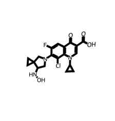 O=C(O)c1cn(C2CC2)c2c(Cl)c(N3CC(NO)C4(CC4)C3)c(F)cc2c1=O